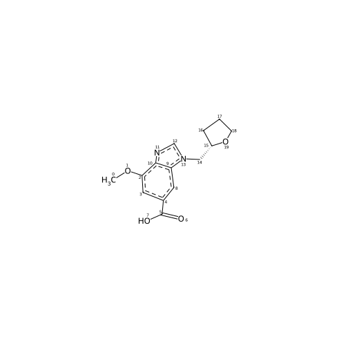 COc1cc(C(=O)O)cc2c1ncn2C[C@@H]1CCCO1